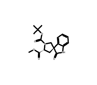 COC(=O)[C@H]1C[C@]2(CN1C(=O)OC(C)(C)C)C(=O)Nc1ccccc12